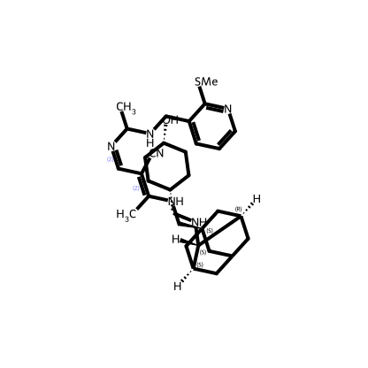 CSc1ncccc1CNC(C)/N=C\C(C#N)=C(/C)NC[C@]12CC3C[C@H](C1)[C@@H](NC[C@H]1CC[C@@H](O)CC1)[C@@H](C3)C2